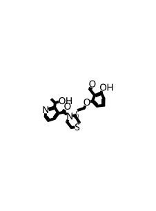 CC(O)c1ncccc1C(=O)N1CCSC[C@H]1CCOc1cccc(O)c1C=O